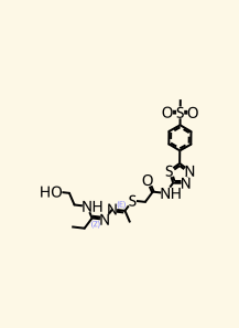 CC/C(=N/N=C(\C)SCC(=O)Nc1nnc(-c2ccc(S(C)(=O)=O)cc2)s1)NCCO